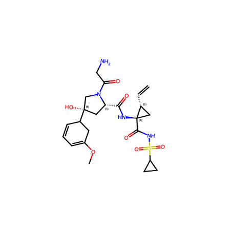 C=C[C@@H]1C[C@]1(NC(=O)[C@@H]1C[C@@](O)(C2C=CC=C(OC)C2)CN1C(=O)CN)C(=O)NS(=O)(=O)C1CC1